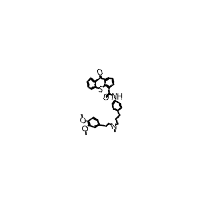 COc1ccc(CCN(C)CCCc2ccc(NC(=O)c3cccc4c(=O)c5ccccc5sc34)cc2)cc1OC